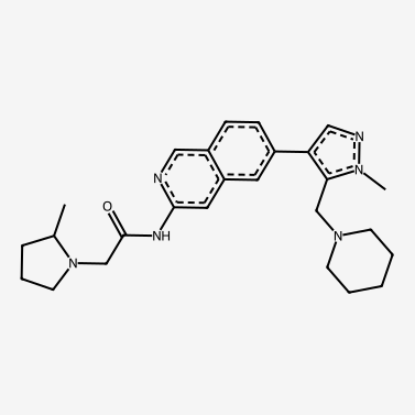 CC1CCCN1CC(=O)Nc1cc2cc(-c3cnn(C)c3CN3CCCCC3)ccc2cn1